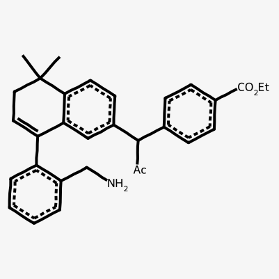 CCOC(=O)c1ccc(C(C(C)=O)c2ccc3c(c2)C(c2ccccc2CN)=CCC3(C)C)cc1